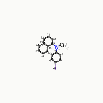 CN(c1ccc(I)cc1)c1cccc2ccccc12